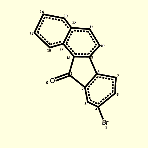 O=C1c2cc(Br)ccc2-c2ccc3ccccc3c21